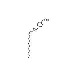 CCCCCCCCCC/C=C\COCc1ccc(CO)cc1